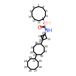 O=C(BC1CCCCCCCCC1)NC12CC(C3CCCC(C4CCCCCCC4)CCC3)(C1)C2